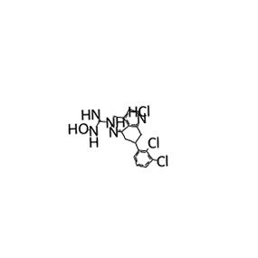 Cc1ccnc2c1/C(=N\NC(=N)NO)CC(c1cccc(Cl)c1Cl)C2.Cl